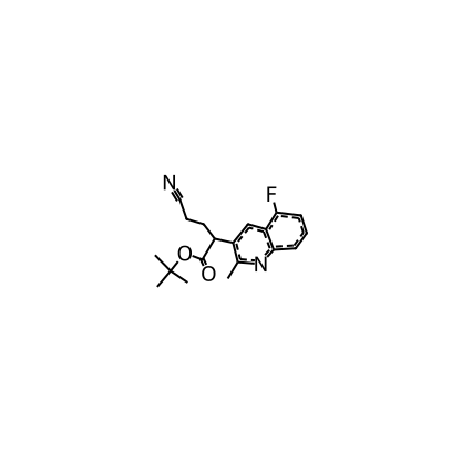 Cc1nc2cccc(F)c2cc1C(CCC#N)C(=O)OC(C)(C)C